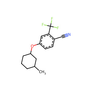 CC1CCCC(Oc2ccc(C#N)c(C(F)(F)F)c2)C1